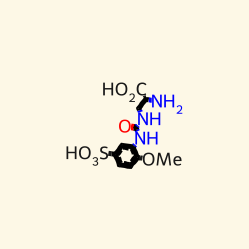 COc1ccc(S(=O)(=O)O)cc1NC(=O)NC[C@H](N)C(=O)O